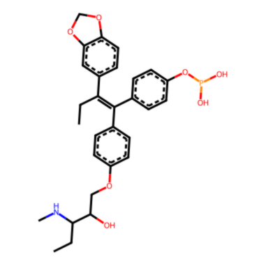 CCC(=C(c1ccc(OCC(O)C(CC)NC)cc1)c1ccc(OP(O)O)cc1)c1ccc2c(c1)OCO2